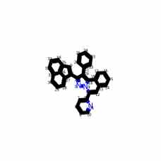 C1=C(c2nn3c(-c4ccccn4)cc4ccccc4c3c2-c2ccccc2)c2cccc3cccc1c23